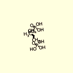 C.CCC.O=P(O)(O)O.O=P(O)(O)O